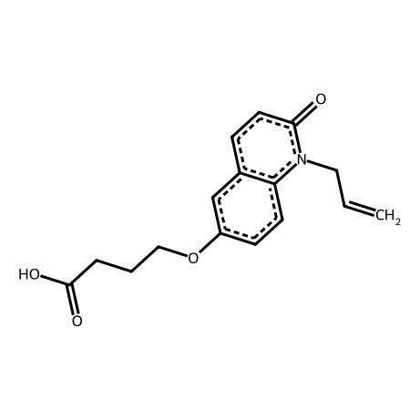 C=CCn1c(=O)ccc2cc(OCCCC(=O)O)ccc21